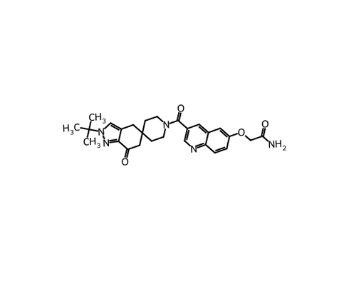 CC(C)(C)n1cc2c(n1)C(=O)CC1(CCN(C(=O)c3cnc4ccc(OCC(N)=O)cc4c3)CC1)C2